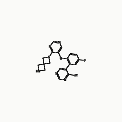 CC(C)c1ncncc1-c1cc(F)ccc1Oc1cncnc1N1CC2(CNC2)C1